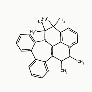 CC1C2=C3c4c(ccc[n+]4C1C)C(C)(C)C(C)(C)N3c1ccccc1-c1ccccc12